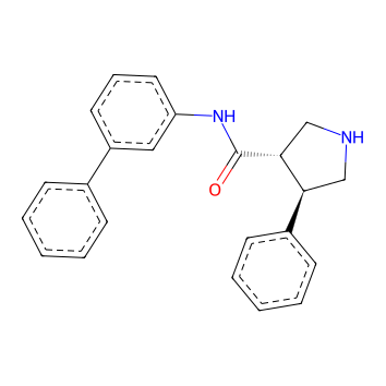 O=C(Nc1cccc(-c2ccccc2)c1)[C@@H]1CNC[C@H]1c1ccccc1